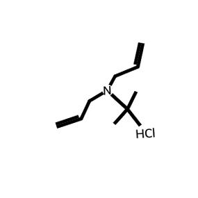 C=CCN(CC=C)C(C)(C)C.Cl